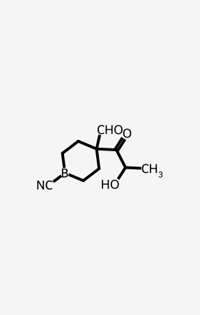 CC(O)C(=O)C1(C=O)CCB(C#N)CC1